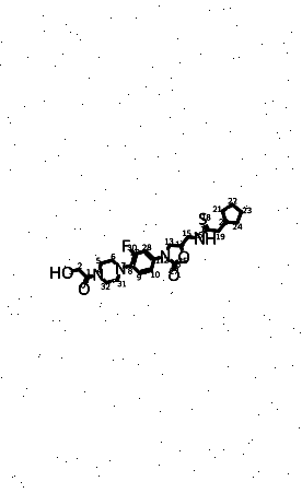 O=C(CO)N1CCN(c2ccc(N3CC(CNC(=S)CC4CCCC4)OC3=O)cc2F)CC1